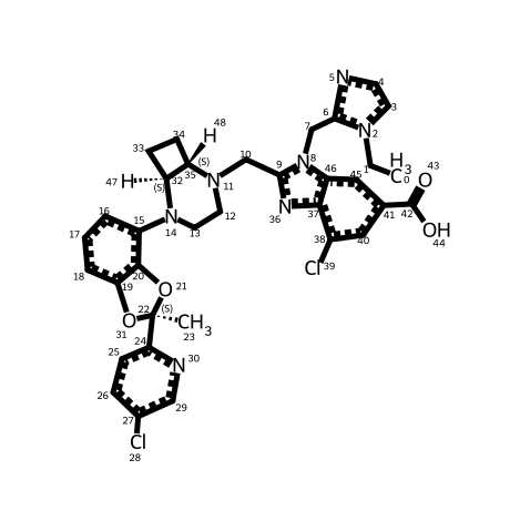 CCn1ccnc1Cn1c(CN2CCN(c3cccc4c3O[C@@](C)(c3ccc(Cl)cn3)O4)[C@H]3CC[C@@H]32)nc2c(Cl)cc(C(=O)O)cc21